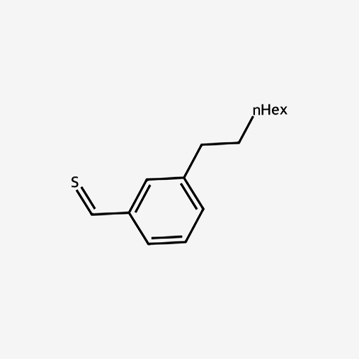 CCCCCCCCc1cccc(C=S)c1